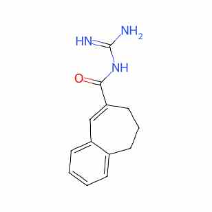 N=C(N)NC(=O)C1=Cc2ccccc2CCC1